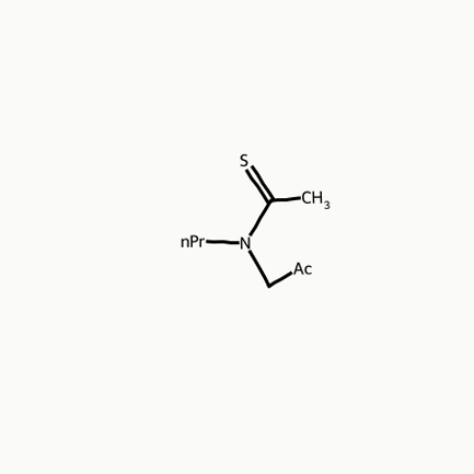 CCCN(CC(C)=O)C(C)=S